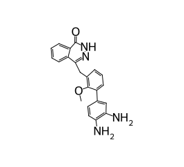 COc1c(Cc2n[nH]c(=O)c3ccccc23)cccc1-c1ccc(N)c(N)c1